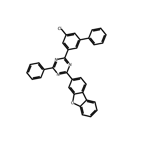 Clc1cc(-c2ccccc2)cc(-c2nc(-c3ccccc3)nc(-c3ccc4c(c3)oc3ccccc34)n2)c1